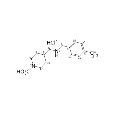 Cl.O=C(O)N1CCC(CNCc2ccc(C(F)(F)F)cc2)CC1